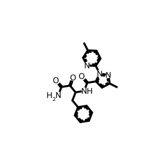 Cc1ccc(-n2nc(C)cc2C(=O)NC(Cc2ccccc2)C(=O)C(N)=O)nc1